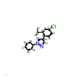 CC(C)c1cc(Cl)ccc1-c1cnn(-c2ccccc2)c1